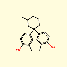 Cc1cc(C2(c3ccc(O)c(C)c3)CCCC(C)C2)ccc1O